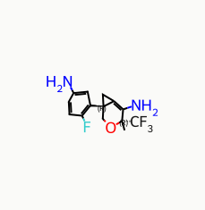 C[C@@]1(C(F)(F)F)OC[C@]2(c3cc(N)ccc3F)CC2=C1N